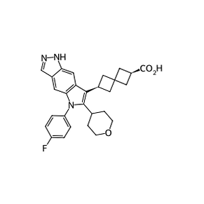 O=C(O)[C@H]1CC2(C1)C[C@H](c1c(C3CCOCC3)n(-c3ccc(F)cc3)c3cc4cn[nH]c4cc31)C2